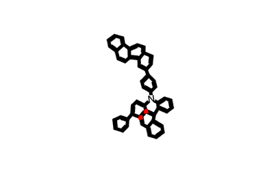 c1ccc(-c2ccc(N(c3ccc(-c4ccc5ccc6c7ccccc7ccc6c5c4)cc3)c3ccccc3-c3cccc4ccccc34)cc2)cc1